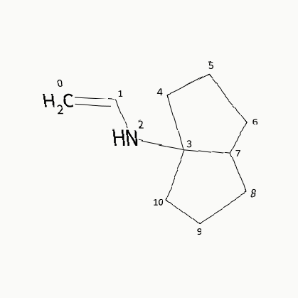 C=CNC12CCCC1CCC2